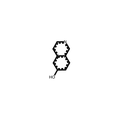 Oc1ccc2cnc[c]c2c1